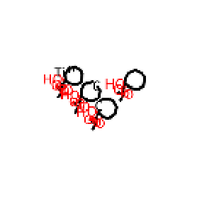 CC(C)OC1CCCCCCCC1(O)C(=O)[O-].CC(C)OC1CCCCCCCC1(O)C(=O)[O-].CC(C)OC1CCCCCCCC1(O)C(=O)[O-].CC(C)OC1CCCCCCCC1(O)C(=O)[O-].[Ti+4]